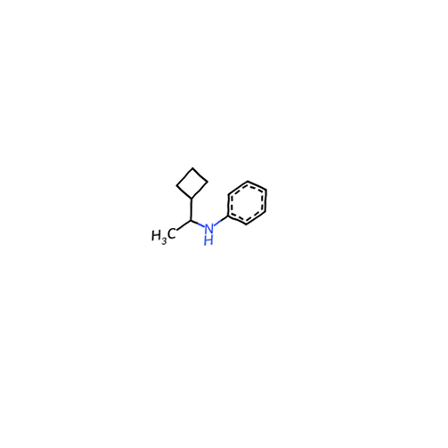 CC(Nc1ccccc1)C1CCC1